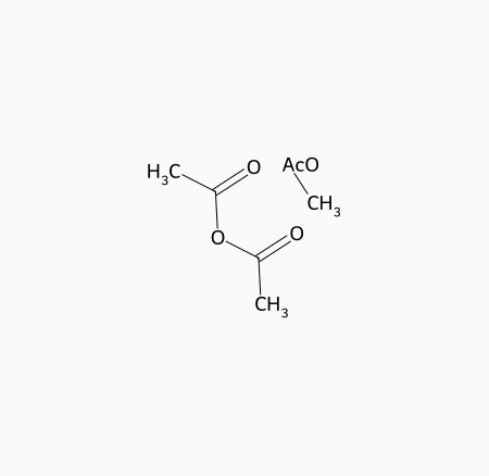 CC(=O)OC(C)=O.COC(C)=O